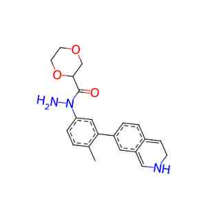 Cc1ccc(N(N)C(=O)C2COCCO2)cc1-c1ccc2c(c1)=CNCC=2